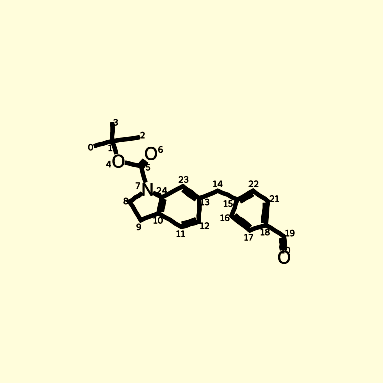 CC(C)(C)OC(=O)N1CCc2ccc(Cc3ccc(C=O)cc3)cc21